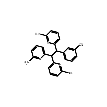 N#Cc1cccc(C(c2cccc(N)n2)C(c2cccc(N)n2)c2cccc(N)n2)c1